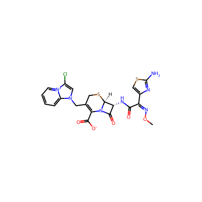 CO/N=C(\C(=O)N[C@@H]1C(=O)N2C(C(=O)[O-])=C(Cn3cc(Cl)[n+]4ccccc34)CS[C@@H]12)c1csc(N)n1